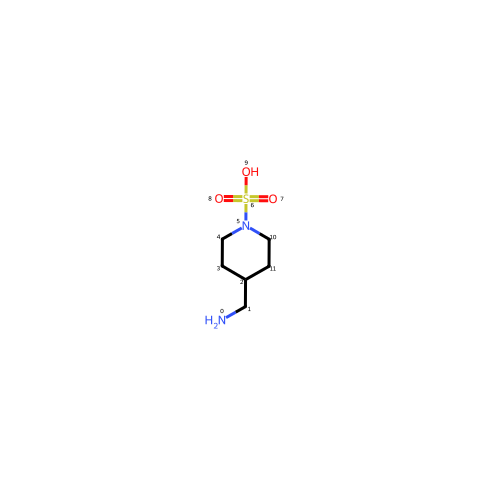 NCC1CCN(S(=O)(=O)O)CC1